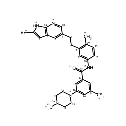 CC(=O)c1cc2cc(CCc3cc(NC(=O)c4cc(N5CCN(C)CC5)cc(C(F)(F)F)c4)ccc3C)cnc2[nH]1